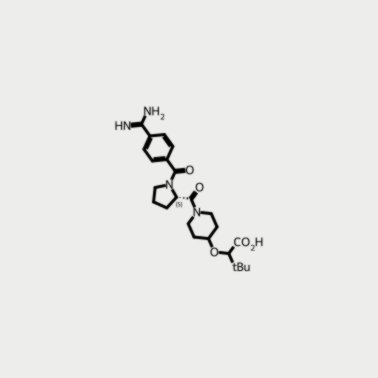 CC(C)(C)C(OC1CCN(C(=O)[C@@H]2CCCN2C(=O)c2ccc(C(=N)N)cc2)CC1)C(=O)O